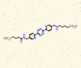 O=C(O)CCCCNCc1ccc(-c2nnc(-c3ccc(CNC(=O)CCCC(=O)O)cn3)nn2)nc1